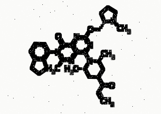 C=CC(=O)C1C[C@H](C)N(c2nc(OC[C@@H]3CCCN3C)nc3c(=O)n(-c4cccc5c4CCC5)c(C)nc23)[C@@H](C)C1